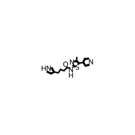 Cc1nc(NC(=O)CCCc2cc[nH]c2)sc1-c1ccncc1